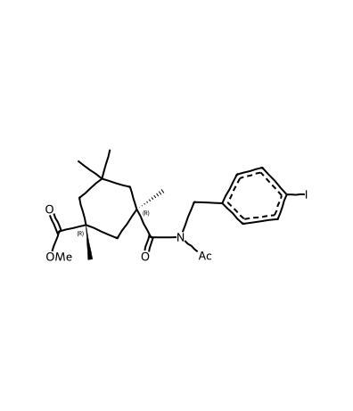 COC(=O)[C@]1(C)CC(C)(C)C[C@@](C)(C(=O)N(Cc2ccc(I)cc2)C(C)=O)C1